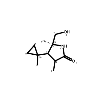 CC1C(=O)N[C@](C)(CO)C1C1(C)CC1